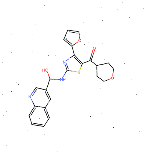 O=C(c1sc(NC(O)c2cnc3ccccc3c2)nc1-c1ccco1)C1CCOCC1